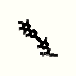 CCCCCC[C@H](C)Oc1cc(F)c(C#Cc2ccc(-c3cc(F)c(C#N)c(F)c3F)c(F)c2)c(F)c1